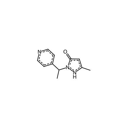 Cc1cc(=O)n(C(C)c2ccncc2)[nH]1